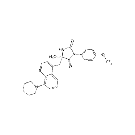 CC1(Cc2ccnc3c(N4CCCCC4)cccc23)NC(=O)N(c2ccc(OC(F)(F)F)cc2)C1=O